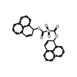 O=[C](OC1C=Cc2cccc3cccc1c23)[Ti](=[O])(=[O])[C](=O)OC1C=Cc2cccc3cccc1c23